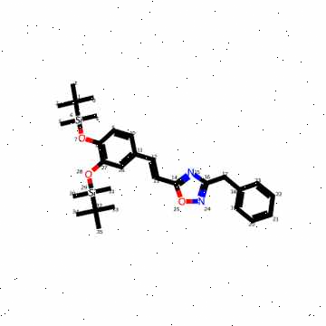 CC(C)(C)[Si](C)(C)Oc1ccc(C=Cc2nc(Cc3ccccc3)no2)cc1O[Si](C)(C)C(C)(C)C